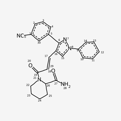 N#Cc1cccc(-c2nn(-c3ccccc3)cc2C=CC(=O)N2CCCCC2C(N)=O)c1